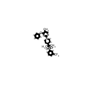 Cc1cnc(N2CCC(C(C)(C)S(=O)(=O)c3cccc(C(F)(F)F)c3)CC2)nc1Oc1ccccc1